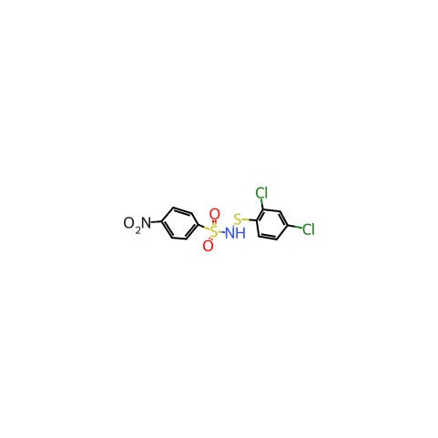 O=[N+]([O-])c1ccc(S(=O)(=O)NSc2ccc(Cl)cc2Cl)cc1